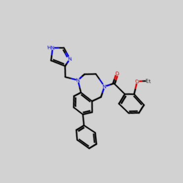 CCOc1ccccc1C(=O)N1CCN(Cc2c[nH]cn2)c2ccc(-c3ccccc3)cc2C1